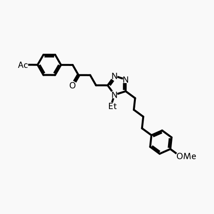 CCn1c(CCCCc2ccc(OC)cc2)nnc1CCC(=O)Cc1ccc(C(C)=O)cc1